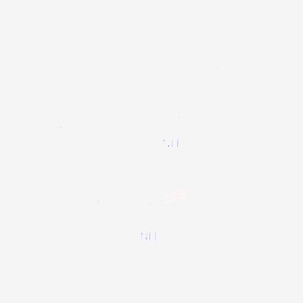 NC(=O)c1ccc(F)c(F)c1Nc1ccccc1F